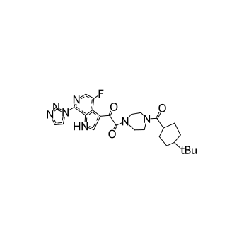 CC(C)(C)C1CCC(C(=O)N2CCN(C(=O)C(=O)c3c[nH]c4c(-n5ccnn5)ncc(F)c34)CC2)CC1